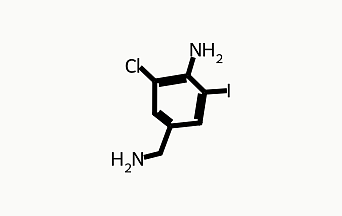 NCc1cc(Cl)c(N)c(I)c1